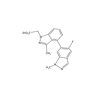 CCOC(=O)Cn1nc(C)c2c(-c3cc4c(cnn4C)cc3F)cccc21